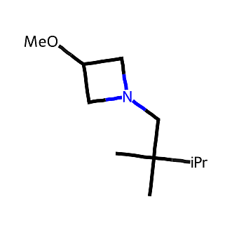 COC1CN(CC(C)(C)C(C)C)C1